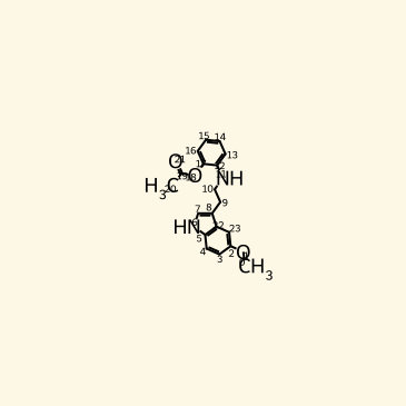 COc1ccc2[nH]cc(CCNc3ccccc3OC(C)=O)c2c1